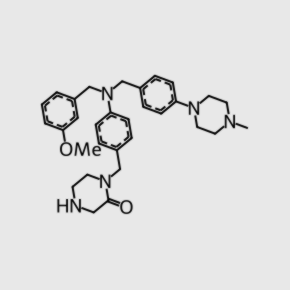 COc1cccc(CN(Cc2ccc(N3CCN(C)CC3)cc2)c2ccc(CN3CCNCC3=O)cc2)c1